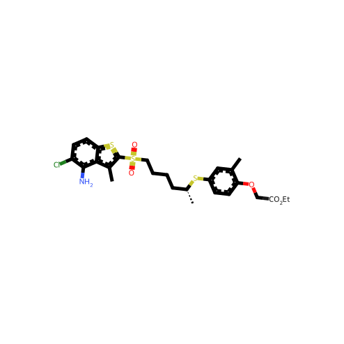 CCOC(=O)COc1ccc(S[C@H](C)CCCCS(=O)(=O)c2sc3ccc(Cl)c(N)c3c2C)cc1C